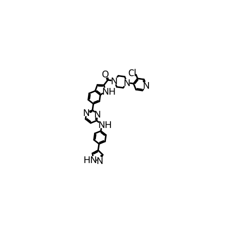 O=C(c1cc2ccc(-c3nccc(Nc4ccc(-c5cn[nH]c5)cc4)n3)cc2[nH]1)N1CCN(c2ccncc2Cl)CC1